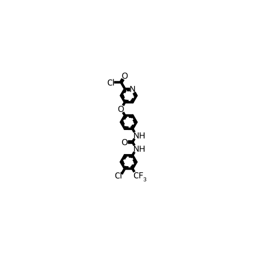 O=C(Nc1ccc(Oc2ccnc(C(=O)Cl)c2)cc1)Nc1ccc(Cl)c(C(F)(F)F)c1